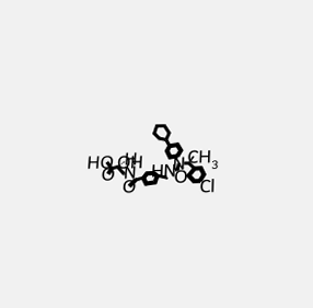 C[C@@H](c1ccc(Cl)cc1)N(C(=O)NCc1ccc(C(=O)NC[C@@H](O)C(=O)O)cc1)c1ccc(C2CCCCC2)cc1